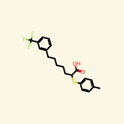 Cc1ccc(SC(CCCCCc2cccc(C(F)(F)F)c2)C(=O)O)cc1